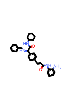 Nc1ccccc1NC(=O)C=Cc1ccc(C(NCc2ccccc2)C(=O)NC2CCCCC2)cc1